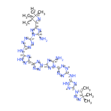 CC1N(c2n[nH]c(Nc3nnc(-n4nc(-n5nnc(-c6n[nH]c(Nc7nnc(-n8nc(C9=NC(C)(C)C9(C)C)nc8N)nn7)n6)n5)nc4N)nn3)n2)N=NC1(C)C